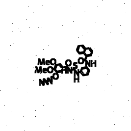 COc1cc(C(=O)NC(=S)Nc2cccc(NC(=O)c3cccc4ccccc34)c2)cc(OCN=[N+]=[N-])c1OC